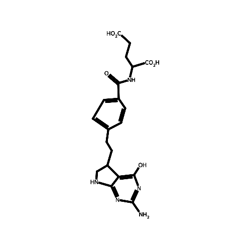 Nc1nc(O)c2c(n1)NCC2CCc1ccc(C(=O)NC(CCC(=O)O)C(=O)O)cc1